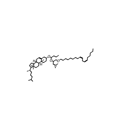 CCCCC/C=C\C/C=C\CCCCCCCCOCC(CN(C)C)OC(CCC)O[C@H]1CC[C@@]2(C)C(=CC[C@H]3[C@@H]4CC[C@H]([C@H](C)CCCC(C)C)[C@@]4(C)CC[C@@H]32)C1